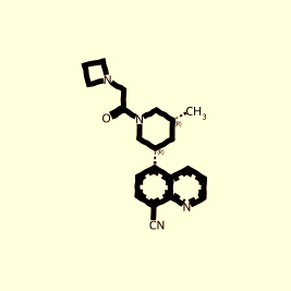 C[C@@H]1C[C@H](c2ccc(C#N)c3ncccc23)CN(C(=O)CN2CCC2)C1